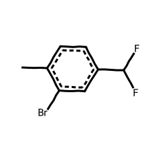 Cc1ccc(C(F)F)cc1Br